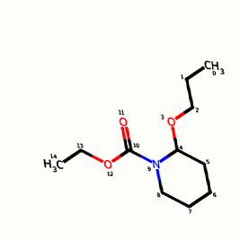 CCCOC1CCCCN1C(=O)OCC